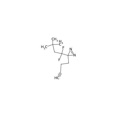 C#CCCC1(C(F)(F)CC(C)(C)C)N=N1